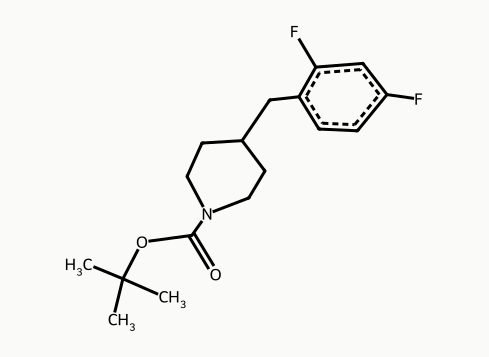 CC(C)(C)OC(=O)N1CCC(Cc2ccc(F)cc2F)CC1